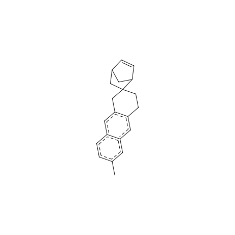 Cc1ccc2cc3c(cc2c1)CCC1(C3)CC2C=CC1C2